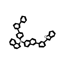 c1ccc(-c2cccc(-c3ccc(N(c4ccc5cc(-c6cccc(-c7cc8ccccc8o7)c6)ccc5c4)c4cccc5ccccc45)cc3)c2)cc1